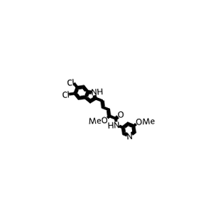 CO/C(=C\C=C\c1cc2cc(Cl)c(Cl)cc2[nH]1)C(=O)Nc1cncc(OC)c1